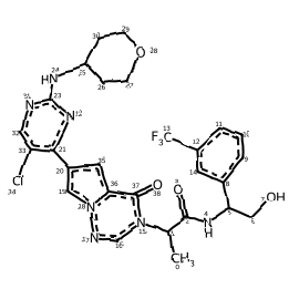 CC(C(=O)NC(CO)c1cccc(C(F)(F)F)c1)n1cnn2cc(-c3nc(NC4CCOCC4)ncc3Cl)cc2c1=O